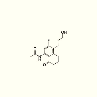 CC(=O)Nc1cc(F)c(CCCO)c2c1C(=O)CCC2